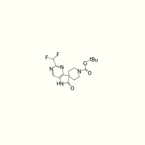 CC(C)(C)OC(=O)N1CCC2(CC1)C(=O)Nc1cnc(C(F)F)nc12